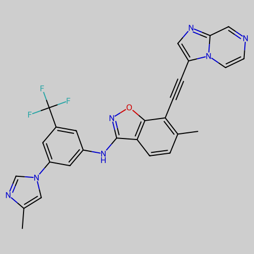 Cc1cn(-c2cc(Nc3noc4c(C#Cc5cnc6cnccn56)c(C)ccc34)cc(C(F)(F)F)c2)cn1